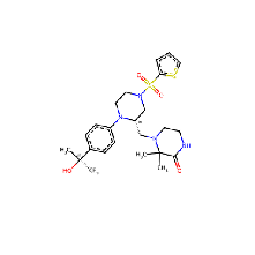 CC1(C)C(=O)NCCN1C[C@H]1CN(S(=O)(=O)c2cccs2)CCN1c1ccc([C@](C)(O)C(F)(F)F)cc1